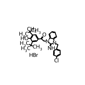 Br.CC(C)(C)c1cc(C(=O)Cn2c(=N)n(Cc3ccc(Cl)cc3)c3ccccc32)cc(C(C)(C)C)c1O